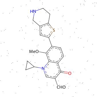 COc1c(-c2cc3c(s2)CCNC3)ccc2c(=O)c(C=O)cn(C3CC3)c12